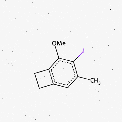 COc1c(I)c(C)cc2c1CC2